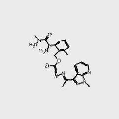 CCC(=NN=C(C)c1cn(C)c2ncccc12)OCc1c(C)cccc1N(N)C(=O)N(C)N